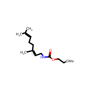 COCCOC(=O)NC/C=C(/C)CCC=C(C)C